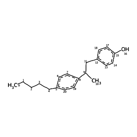 CCCCCc1ccc(C(C)Cc2ccc(O)cc2)cc1